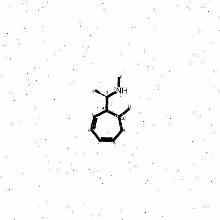 CN[C@H](C)C1C=CC=CCC1C